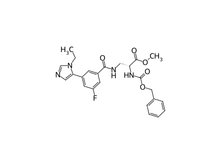 CCn1cncc1-c1cc(F)cc(C(=O)NC[C@@H](NC(=O)OCc2ccccc2)C(=O)OC)c1